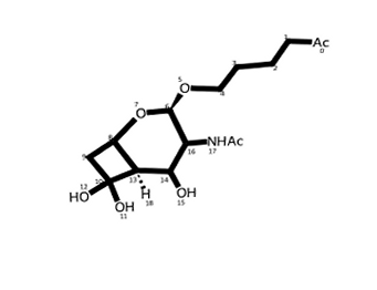 CC(=O)CCCCO[C@@H]1OC2CC(O)(O)[C@@H]2C(O)C1NC(C)=O